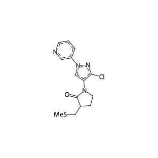 CSCC1CCN(c2cn(-c3cccnc3)nc2Cl)C1=O